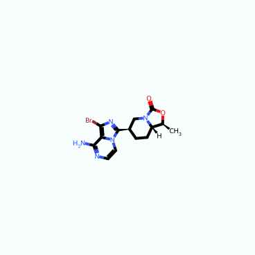 C[C@@H]1OC(=O)N2C[C@H](c3nc(Br)c4c(N)nccn34)CC[C@@H]12